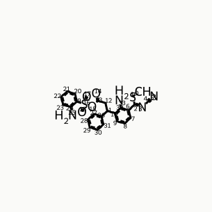 CSC(=NC#N)c1cccc(C(CC(=O)OS(=O)(=O)c2ccccc2N)c2ccccc2)c1N